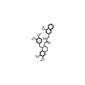 COc1ccc(CC2c3cc(OC)c(OC)cc3CCN2CC(=O)NCc2cc(OC)c3ccccc3c2)cc1OC